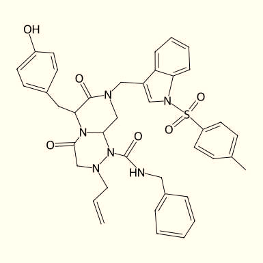 C=CCN1CC(=O)N2C(Cc3ccc(O)cc3)C(=O)N(Cc3cn(S(=O)(=O)c4ccc(C)cc4)c4ccccc34)CC2N1C(=O)NCc1ccccc1